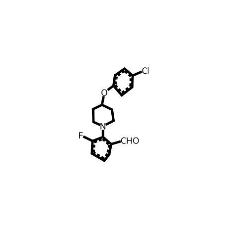 O=Cc1cccc(F)c1N1CCC(Oc2ccc(Cl)cc2)CC1